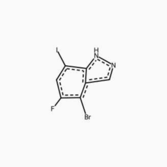 Fc1cc(I)c2[nH]ncc2c1Br